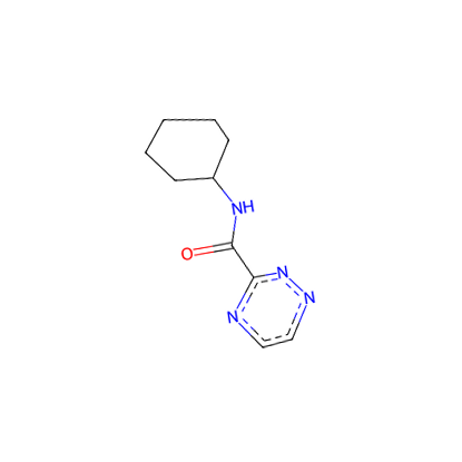 O=C(NC1CCCCC1)c1nccnn1